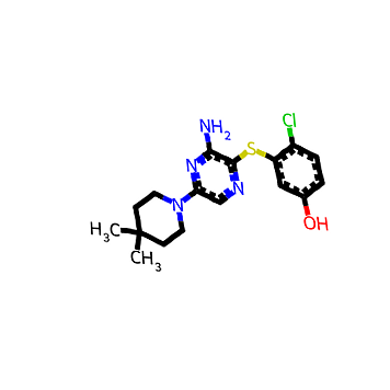 CC1(C)CCN(c2cnc(Sc3cc(O)ccc3Cl)c(N)n2)CC1